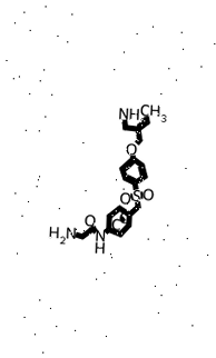 C/C=C(\CN)COc1ccc(S(=O)(=O)CC23CCC(NC(=O)CN)(CC2)CC3)cc1